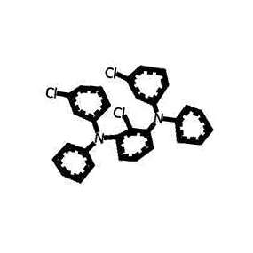 Clc1cccc(N(c2ccccc2)c2cccc(N(c3ccccc3)c3cccc(Cl)c3)c2Cl)c1